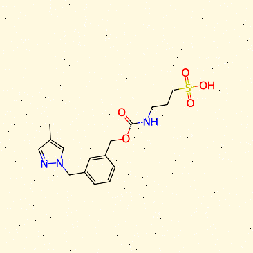 Cc1cnn(Cc2cccc(COC(=O)NCCCS(=O)(=O)O)c2)c1